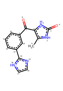 Cc1[nH]c(=O)[nH]c1C(=O)c1cccc(-c2ncc[nH]2)c1